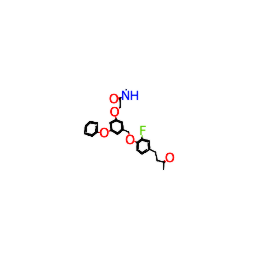 CNC(=O)COc1cc(COc2ccc(CCC(C)=O)cc2F)cc(Oc2ccccc2)c1